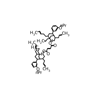 C=CCC12CC(C(CC=CC)CN1OC(=O)/C=C/C(=O)ON1CC(CC=CC)C3CC1(CC=C)C(CCC=CC)CC3c1cccc(OCCC)c1)C(c1cccc(OCCC)c1)CC2CCC=CC